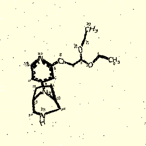 CCOC(COc1cc(N2C3CCC2CNC3)ccn1)OCC